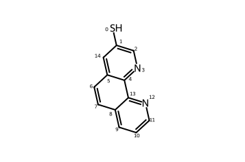 Sc1cnc2c(ccc3cccnc32)c1